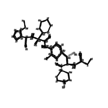 CCC(=O)N[C@@H](C(=O)N1CCN(C)CC1)[C@@H](C)c1ccc(NC(=O)[C@](C)(NC(=O)c2cccn2CC)C2CCCCC2)c(F)c1